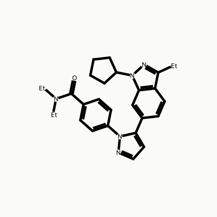 CCc1nn(C2CCCC2)c2cc(-c3ccnn3-c3ccc(C(=O)N(CC)CC)cc3)ccc12